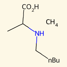 C.CCCCCNC(C)C(=O)O